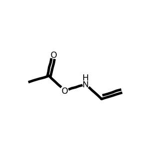 C=CNOC(C)=O